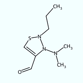 CCCN1SC=C(C=O)N1N(C)C